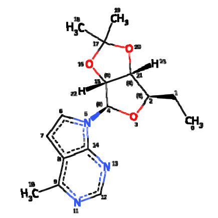 CC[C@H]1O[C@@H](n2ccc3c(C)ncnc32)[C@@H]2OC(C)(C)O[C@@H]21